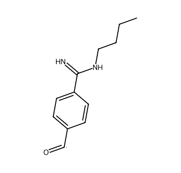 CCCCNC(=N)c1ccc([C]=O)cc1